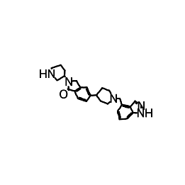 O=C1c2ccc(C3CCN(Cc4cccc5[nH]ncc45)CC3)cc2CN1C1CCCNC1